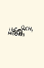 C=CC(=O)NCC(C)(C)S(=O)(=O)O.[KH]